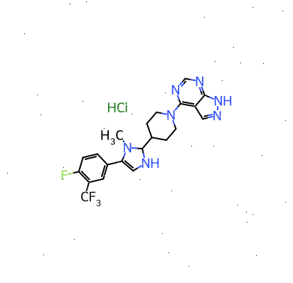 CN1C(c2ccc(F)c(C(F)(F)F)c2)=CNC1C1CCN(c2ncnc3[nH]ncc23)CC1.Cl